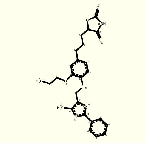 CCCOc1cc(CCCC2OC(=O)NC2=O)ccc1OCc1nc(-c2ccccc2)oc1C